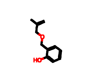 C=C(C)COCc1ccccc1O